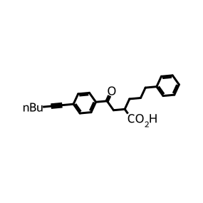 CCCCC#Cc1ccc(C(=O)CC(CCCc2ccccc2)C(=O)O)cc1